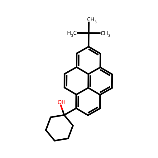 CC(C)(C)c1cc2ccc3ccc(C4(O)CCCCC4)c4ccc(c1)c2c34